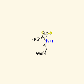 CNCCNc1c(C(C)(C)C)c(=S)c1=S